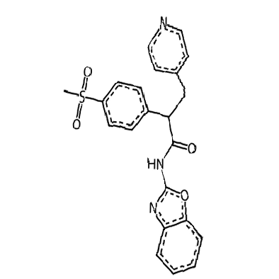 CS(=O)(=O)c1ccc(C(Cc2ccncc2)C(=O)Nc2nc3ccccc3o2)cc1